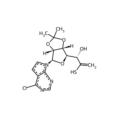 C=C(S)[C@@H](O)[C@H]1O[C@@H](n2ccc3c(Cl)ncnc32)[C@@H]2OC(C)(C)O[C@@H]21